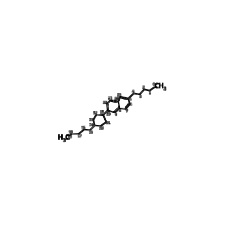 CCCCCc1ccc2cc(C3CCC(CCCCC)CC3)ccc2c1